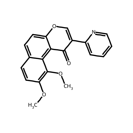 COc1ccc2ccc3occ(-c4ccccn4)c(=O)c3c2c1OC